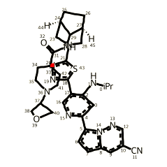 CC(C)Nc1cc(-c2ccc3cc(C#N)cnn23)ncc1-c1nnc(N2C[C@H]3CC[C@@H](C2)C3NC(=O)C2CCN(C3COC3)CC2)s1